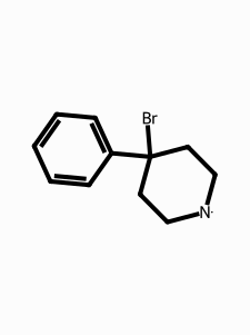 BrC1(c2ccccc2)CC[N]CC1